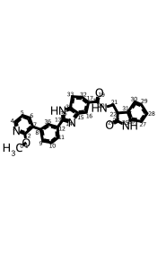 COc1ncccc1-c1cccc(-c2nc3cc(C(=O)NCC4C(=O)Nc5ccccc54)ccc3[nH]2)c1